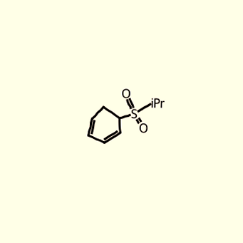 CC(C)S(=O)(=O)C1C=CC=CC1